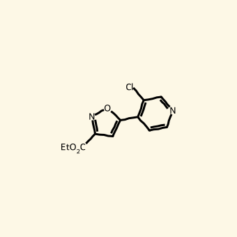 CCOC(=O)c1cc(-c2ccncc2Cl)on1